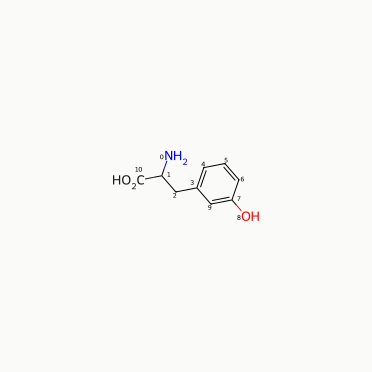 NC(Cc1cccc(O)c1)C(=O)O